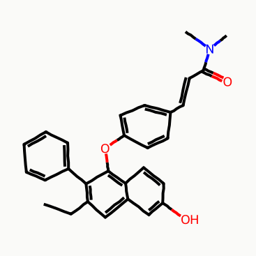 CCc1cc2cc(O)ccc2c(Oc2ccc(/C=C/C(=O)N(C)C)cc2)c1-c1ccccc1